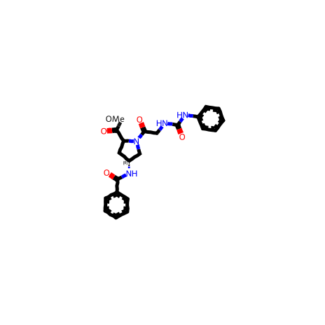 COC(=O)C1C[C@@H](NC(=O)c2ccccc2)CN1C(=O)CNC(=O)Nc1ccccc1